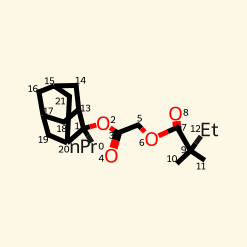 CCCC1(OC(=O)COC(=O)C(C)(C)CC)C2CC3CC(C2)CC1C3